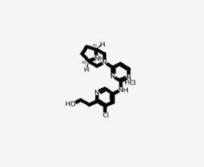 Cl.OCCc1ncc(Nc2nccc(N3C[C@H]4CC[C@@H](C3)N4)n2)cc1Cl